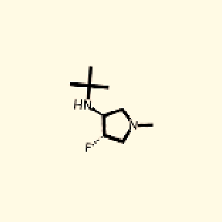 CN1C[C@H](NC(C)(C)C)[C@@H](F)C1